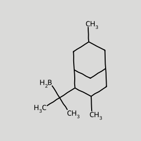 BC(C)(C)C1C(C)CC2CC(C)CC1C2